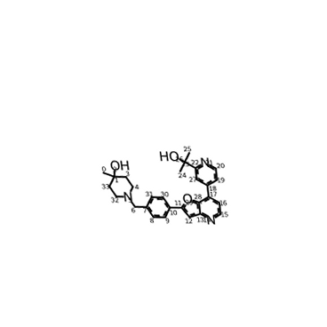 CC1(O)CCN(Cc2ccc(-c3cc4nccc(-c5ccnc(C(C)(C)O)c5)c4o3)cc2)CC1